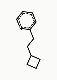 c1ccc(CCC2CCC2)nc1